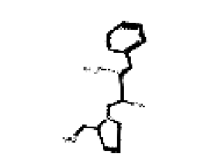 N[C@H](Cc1ccccc1)[C@@H](O)CN1CCC[C@H]1CO